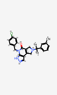 [2H]C([2H])(c1cccc(C#N)c1)N1Cc2c(c3cn[nH]c3n(Cc3ccc(Cl)cc3)c2=O)C1